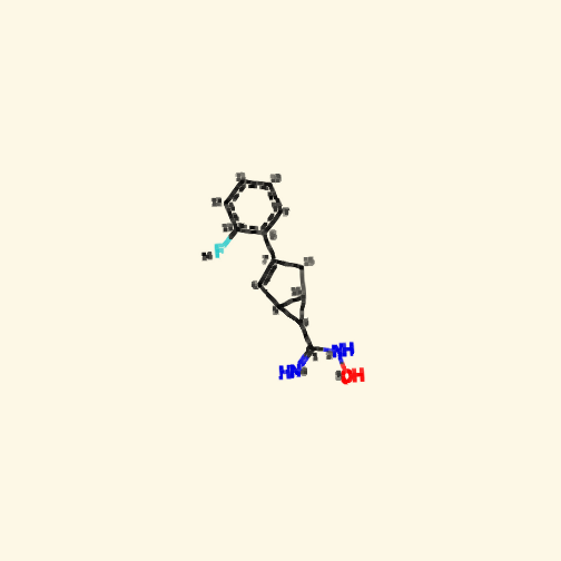 N=C(NO)C1C2C=C(c3ccccc3F)CC21